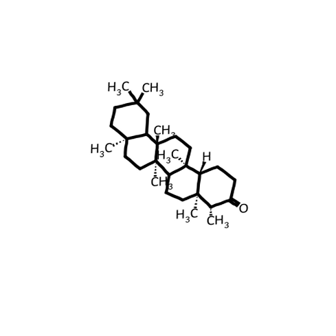 C[C@H]1C(=O)CC[C@@H]2[C@]1(C)CCC1[C@@]2(C)CC[C@@]2(C)C3CC(C)(C)CC[C@]3(C)CC[C@]12C